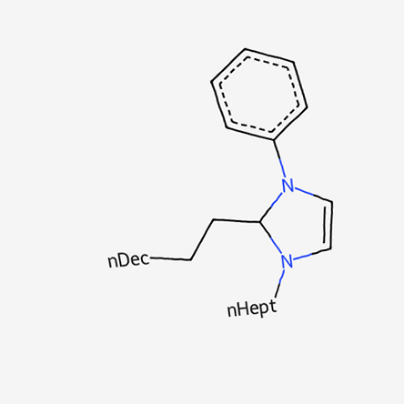 CCCCCCCCCCCCC1N(CCCCCCC)C=CN1c1ccccc1